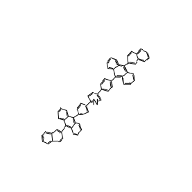 c1ccc2cc(-c3c4ccccc4c(-c4ccc(-c5ccc(-c6ccc(-c7c8ccccc8c(-c8ccc9ccccc9c8)c8ccccc78)cc6)nc5)cc4)c4ccccc34)ccc2c1